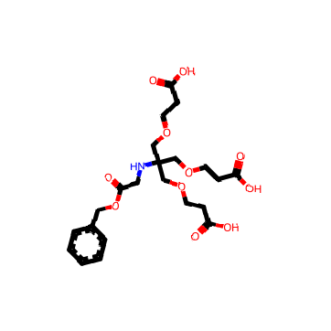 O=C(O)CCOCC(COCCC(=O)O)(COCCC(=O)O)NCC(=O)OCc1ccccc1